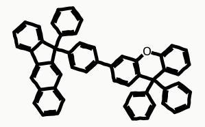 c1ccc(C2(c3ccccc3)c3ccccc3Oc3cc(-c4ccc(C5(c6ccccc6)c6ccccc6-c6cc7ccccc7cc65)cc4)ccc32)cc1